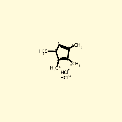 CC1=CC(C)C(C)=C1C.Cl.Cl